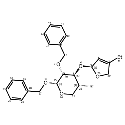 CCC1=C[C@H](O[C@@H]2[C@@H](OCc3ccccc3)[C@@H](OCc3ccccc3)OC[C@H]2C)OC1